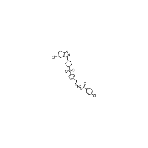 O=C(N=[N+]=NCc1ccc(S(=O)(=O)N2CCC(n3nnc4ccc(Cl)cc43)CC2)s1)c1ccc(Cl)cc1